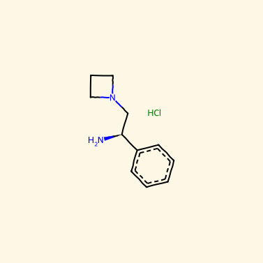 Cl.N[C@@H](CN1CCC1)c1ccccc1